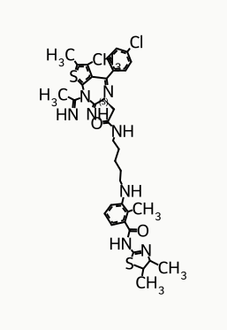 CC(=N)N1C(=N)[C@H](CC(=O)NCCCCCNc2cccc(C(=O)NC3=NC(C)C(C)S3)c2C)N=C(c2ccc(Cl)cc2)c2c1sc(C)c2C